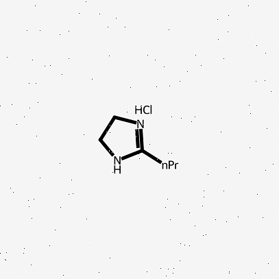 CCCC1=NCCN1.Cl